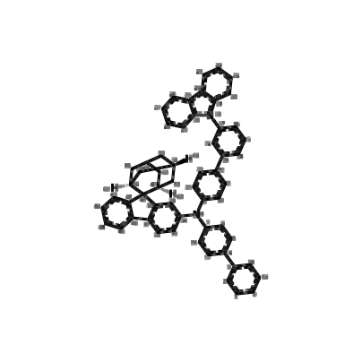 c1ccc(-c2ccc(N(c3ccc(-c4cccc(-n5c6ccccc6c6ccccc65)c4)cc3)c3ccc4c(c3)C3(c5ccccc5-4)[C@H]4CC5C[C@H](C4)C[C@@H]3C5)cc2)cc1